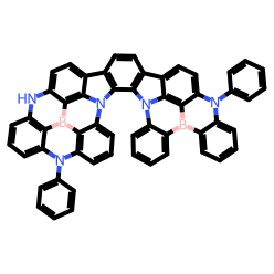 c1ccc(N2c3cccc4c3B3c5c2cccc5-n2c5c3c(ccc5c3ccc5c6ccc7c8c6n(c5c32)-c2ccccc2B8c2ccccc2N7c2ccccc2)N4)cc1